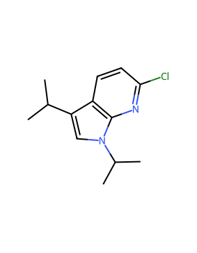 CC(C)c1cn(C(C)C)c2nc(Cl)ccc12